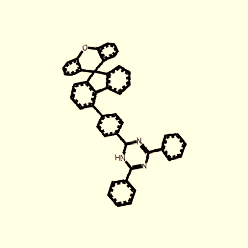 c1ccc(C2=NC(c3ccc(-c4cccc5c4-c4ccccc4C54c5ccccc5Oc5ccccc54)cc3)NC(c3ccccc3)=N2)cc1